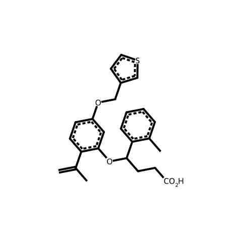 C=C(C)c1ccc(OCc2ccsc2)cc1OC(CCC(=O)O)c1ccccc1C